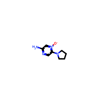 Nc1c[n+]([O-])c(N2CCCC2)cn1